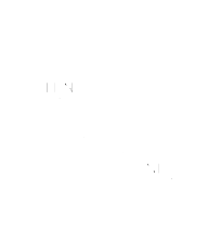 CC(N)C1CCC(N)O1